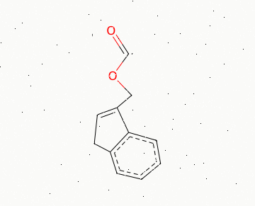 O=[C]OCC1=CCc2ccccc21